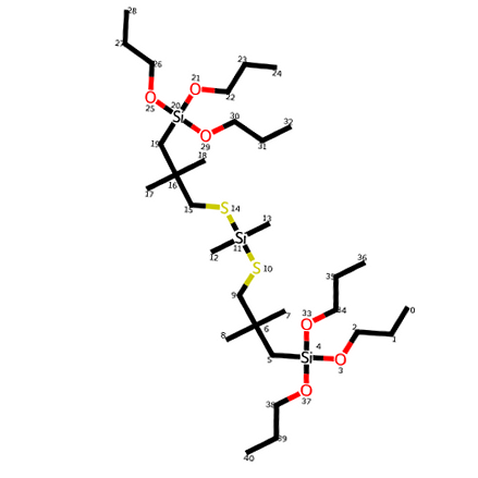 CCCO[Si](CC(C)(C)CS[Si](C)(C)SCC(C)(C)C[Si](OCCC)(OCCC)OCCC)(OCCC)OCCC